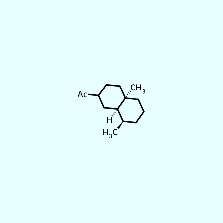 CC(=O)C1CC[C@@]2(C)CCC[C@@H](C)[C@H]2C1